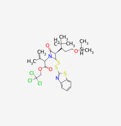 C=C(C)C(C(=O)OCC(Cl)(Cl)Cl)N1C(=O)[C@@H](C(CCO[SiH](C)C)C(C)(C)C)[C@H]1SSc1nc2ccccc2s1